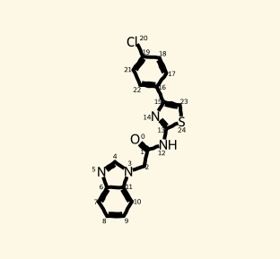 O=C(Cn1cnc2ccccc21)Nc1nc(-c2ccc(Cl)cc2)cs1